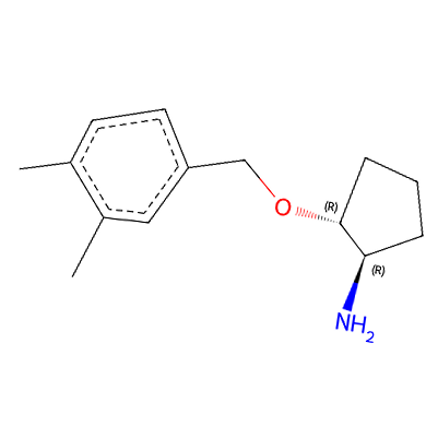 Cc1ccc(CO[C@@H]2CCC[C@H]2N)cc1C